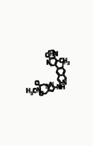 Cc1c(-c2cc3cc(Nc4cc5n(n4)CC(=O)N(C)OC5)ncc3cc2F)cnc2c1NCCO2